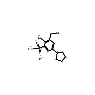 Cl.NCc1cc(C2CCCC2)cc(S(N)(=O)=O)c1O